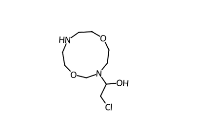 OC(CCl)N1CCOCCNCCOC1